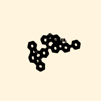 CC1(C)c2cc(-c3ccccc3)ccc2-c2ccc(N(c3ccc4c(c3)n3c5ccccc5c5ccc6c7ccccc7n4c6c53)c3cccc4oc5ccccc5c34)cc21